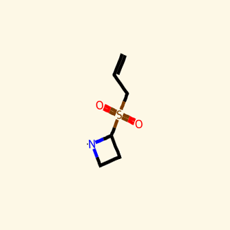 C=CCS(=O)(=O)C1CC[N]1